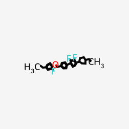 CCCc1ccc(OCc2ccc(-c3ccc(C4CCC(CC)CC4)c(F)c3F)cc2)c(F)c1